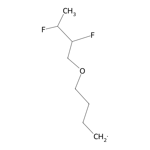 [CH2]CCCOCC(F)C(C)F